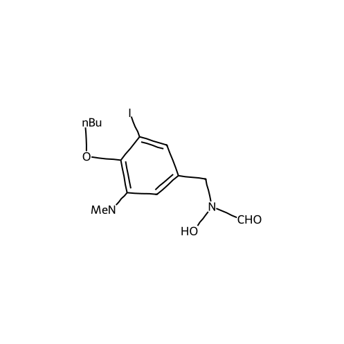 CCCCOc1c(I)cc(CN(O)C=O)cc1NC